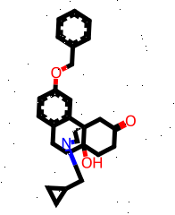 O=C1CCC2(O)C3Cc4ccc(OCc5ccccc5)cc4[C@@]2(CCN3CC2CC2)C1